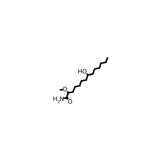 CCCCCCC(O)CCCCCC(OC)C(N)=O